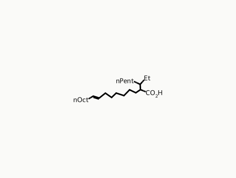 CCCCCCCCC=CCCCCCCC(C(=O)O)C(CC)CCCCC